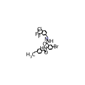 CCc1ccc(C(=O)Nc2ccc(Br)cc2C(=O)N/N=C/c2ccc(Cl)c(C(F)(F)F)c2)cc1